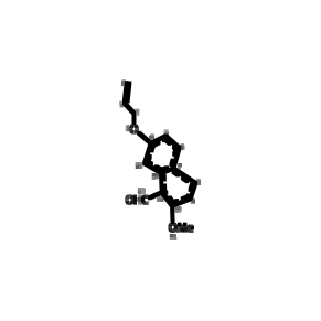 C=CCOc1ccc2ccc(OC)c(C=O)c2c1